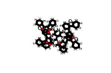 c1ccc(-c2nc(-c3ccccc3)nc(-c3c(-n4c5ccccc5c5c6c(ccc54)oc4ccccc46)c(-n4c5ccccc5c5c6c(ccc54)oc4ccccc46)nc(-n4c5ccccc5c5c6c(ccc54)oc4ccccc46)c3-n3c4ccccc4c4c5c(ccc43)oc3ccccc35)n2)cc1